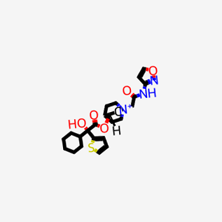 O=C(C[N+]12CCC(CC1)[C@@H](OC(=O)C(O)(c1cccs1)C1CCCCC1)C2)Nc1ccon1